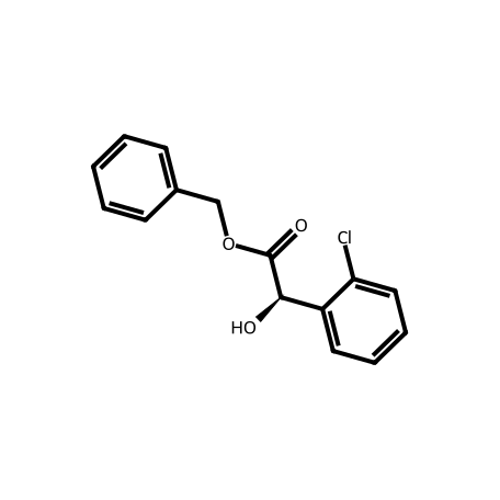 O=C(OCc1ccccc1)[C@H](O)c1ccccc1Cl